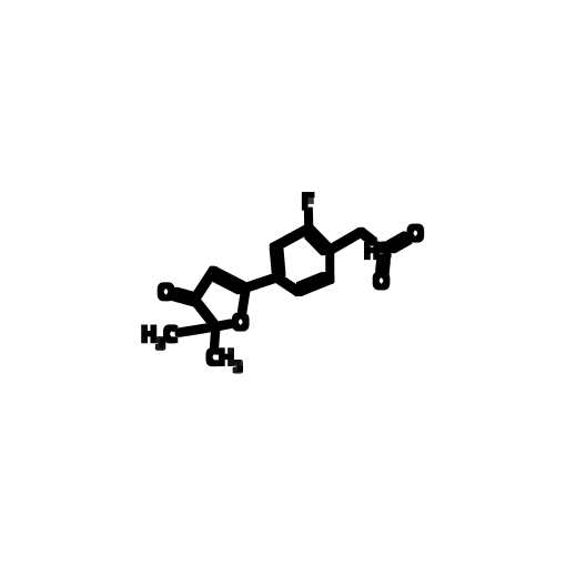 CC1(C)OC(c2ccc(C[SH](=O)=O)c(F)c2)=CC1=O